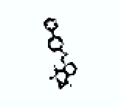 CN(C(=O)C1=C(C=O)CCCN1CNC1=CCC=C(c2cnccn2)C=N1)C1CC1